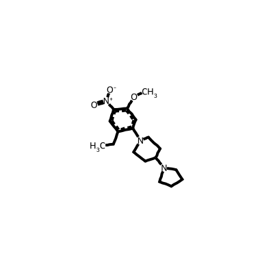 CCc1cc([N+](=O)[O-])c(OC)cc1N1CCC(N2CCCC2)CC1